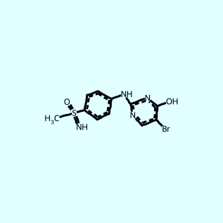 CS(=N)(=O)c1ccc(Nc2ncc(Br)c(O)n2)cc1